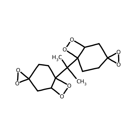 CC(C)(C12CCC3(CC1OO2)OO3)C12CCC3(CC1OO2)OO3